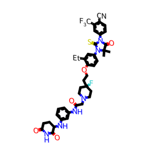 CCc1cc(N2C(=S)N(c3ccc(C#N)c(C(F)(F)F)c3)C(=O)C2(C)C)ccc1OCCC1(F)CCN(CC(=O)Nc2cccc(NC3CCC(=O)NC3=O)c2)CC1